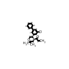 C=CC(=O)N1CC(C)(C)OC[C@H]1c1cc(Cl)cc(-c2ccccc2)c1